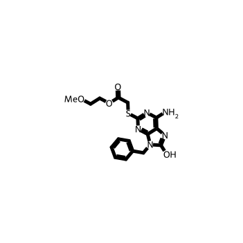 COCCOC(=O)CSc1nc(N)c2nc(O)n(Cc3ccccc3)c2n1